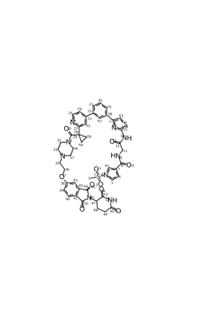 CS(=O)(=O)n1ccc(C(=O)NCC(=O)Nc2nc(-c3cccc(-c4ccnc(C5(C(=O)N6CCN(CCOc7ccc8c(c7)C(=O)N(C7CCC(=O)NC7=O)C8=O)CC6)CC5)c4)c3)cs2)c1